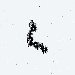 O=C(Nc1cnccn1)N1CCN(C(=O)c2ccc(OCCc3cccc(C(F)(F)F)c3)cn2)CC1